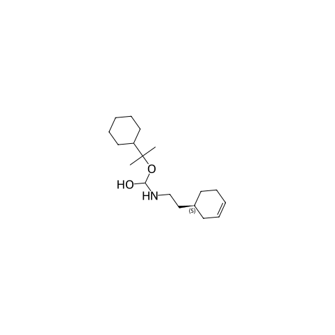 CC(C)(OC(O)NCC[C@@H]1CC=CCC1)C1CCCCC1